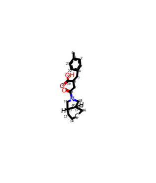 Cc1ccc(CC(CC(=O)N2C[C@H]3CCCC[C@H]3C2)C(=O)O)cc1